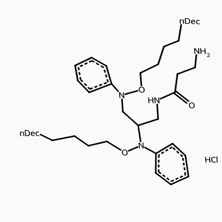 CCCCCCCCCCCCCCON(CC(CNC(=O)CCN)N(OCCCCCCCCCCCCCC)c1ccccc1)c1ccccc1.Cl